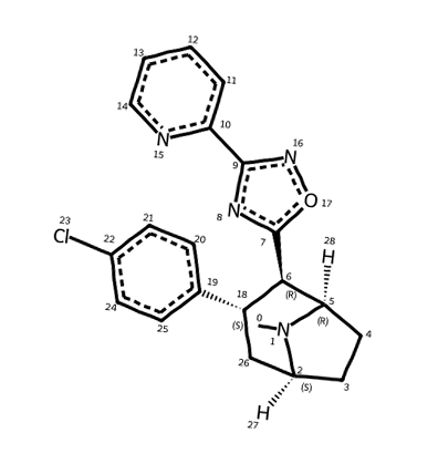 CN1[C@H]2CC[C@@H]1[C@H](c1nc(-c3ccccn3)no1)[C@@H](c1ccc(Cl)cc1)C2